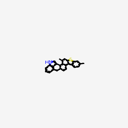 Cc1ccc2c(c1)sc1cc(C)c3c4c(ccc3c12)Cc1cccc2[nH]cc-4c12